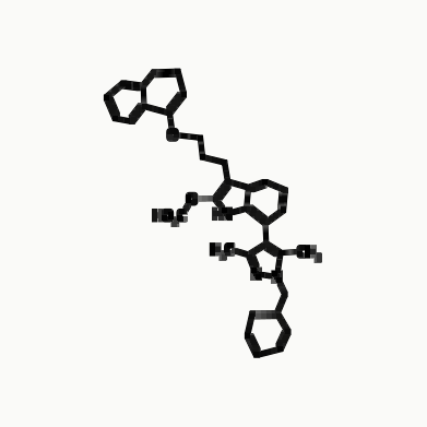 Cc1nn(Cc2ccccc2)c(C)c1-c1cccc2c(CCCOc3cccc4ccccc34)c(OC(=O)O)[nH]c12